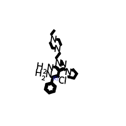 CCN1CCN(CCn2nc(N3CCCC3)c(/C(Cl)=C(\N)c3ccccc3)c2N)CC1